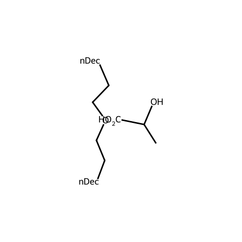 CC(O)C(=O)O.CCCCCCCCCCCCOCCCCCCCCCCCC